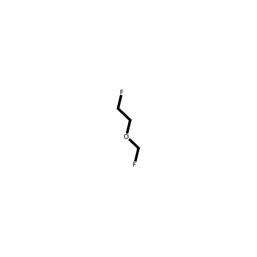 FCCOCF